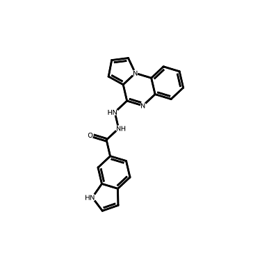 O=C(NNc1nc2ccccc2n2cccc12)c1ccc2cc[nH]c2c1